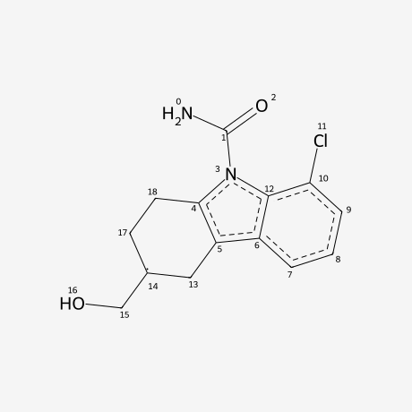 NC(=O)n1c2c(c3cccc(Cl)c31)C[C](CO)CC2